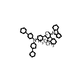 CC1(C)c2ccccc2-c2c(-n3c4ccccc4c4ccccc43)ccc(-c3ccc(N(c4ccc(-c5ccccc5)cc4)c4ccc(-c5ccccc5)cc4)cc3)c21